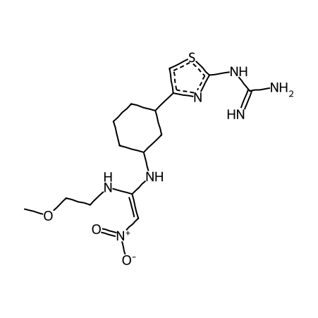 COCCNC(=C[N+](=O)[O-])NC1CCCC(c2csc(NC(=N)N)n2)C1